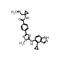 C=NCC1(NC(=O)c2ccc(-c3nc(Nc4ccc5[nH]ncc5c4C4CC4)n(C)n3)cc2)CC1